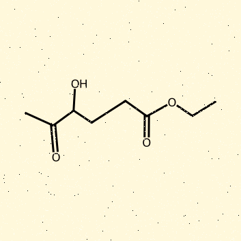 CCOC(=O)CCC(O)C(C)=O